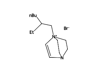 CCCCC(CC)C[N+]12C=CN(CC1)CC2.[Br-]